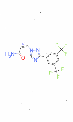 NC(=O)/C=C\n1cnc(-c2cc(C(F)(F)F)cc(C(F)(F)F)c2)n1